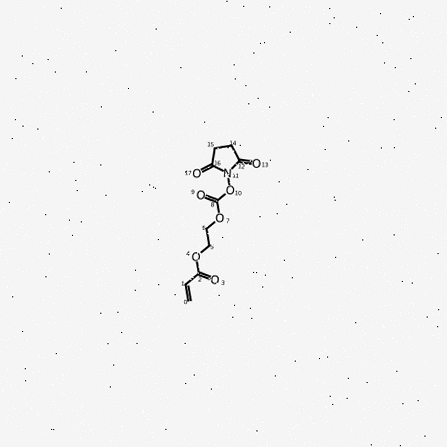 C=CC(=O)OCCOC(=O)ON1C(=O)CCC1=O